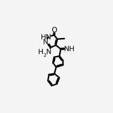 Cc1c(C(=N)c2ccc(-c3ccccc3)cc2)c(N)n[nH]c1=O